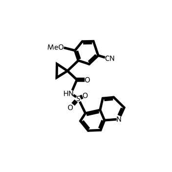 COc1ccc(C#N)cc1C1(C(=O)NS(=O)(=O)c2cccc3ncccc23)CC1